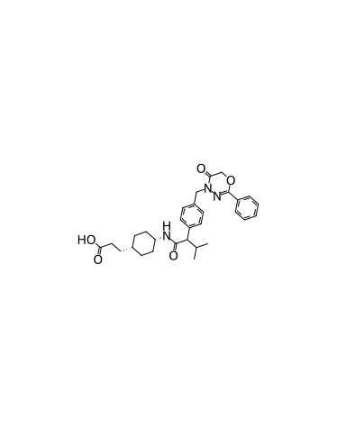 CC(C)C(C(=O)N[C@H]1CC[C@@H](CCC(=O)O)CC1)c1ccc(CN2N=C(c3ccccc3)OCC2=O)cc1